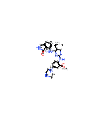 C=Cc1cnc(Nc2ccc(N3CCNCC3)cc2OC(C)C)nc1Nc1cccc2c1C(=O)NC2